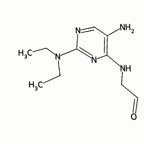 CCN(CC)c1ncc(N)c(NCC=O)n1